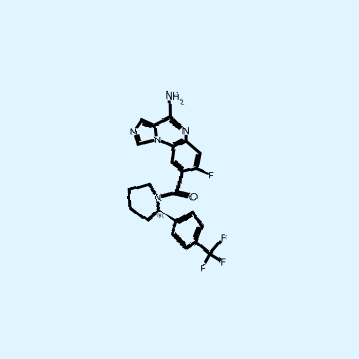 Nc1nc2cc(F)c(C(=O)N3CCCC[C@@H]3c3ccc(C(F)(F)F)cc3)cc2n2cncc12